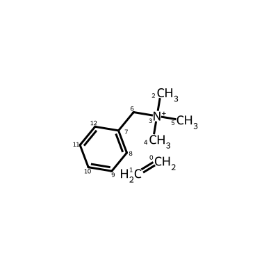 C=C.C[N+](C)(C)Cc1ccccc1